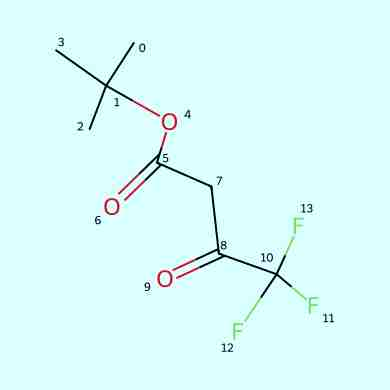 CC(C)(C)OC(=O)CC(=O)C(F)(F)F